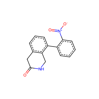 O=C1Cc2cccc(-c3ccccc3[N+](=O)[O-])c2CN1